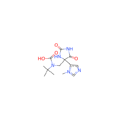 Cn1cncc1C1(CN(C(=O)O)C(C)(C)C)NC(=O)NC1=O